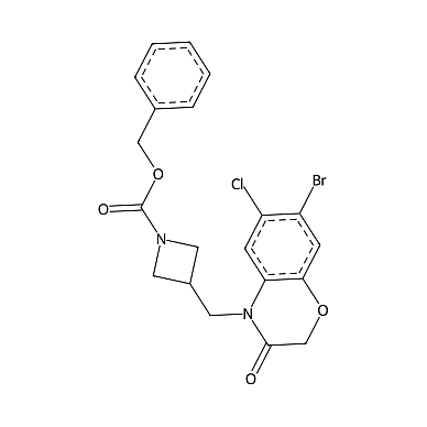 O=C(OCc1ccccc1)N1CC(CN2C(=O)COc3cc(Br)c(Cl)cc32)C1